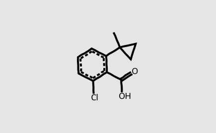 CC1(c2cccc(Cl)c2C(=O)O)CC1